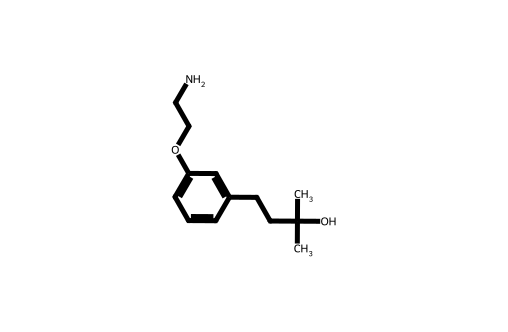 CC(C)(O)CCc1cccc(OCCN)c1